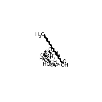 CC(O)C(=O)[O-].CC(O)C(=O)[O-].CC(O)C(=O)[O-].CCCCCCCCCCCCCCCCCC(=O)O.[Ca+2].[Na+]